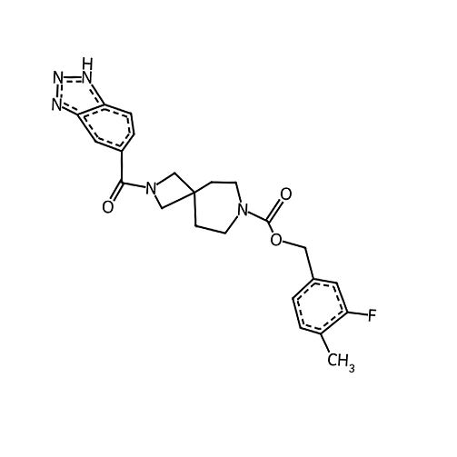 Cc1ccc(COC(=O)N2CCC3(CC2)CN(C(=O)c2ccc4[nH]nnc4c2)C3)cc1F